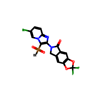 CCS(=O)(=O)c1c(N2Cc3cc4c(cc3C2=O)OC(F)(F)O4)nc2ccc(Br)cn12